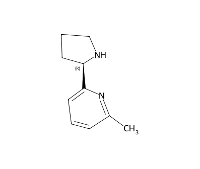 Cc1cccc([C@H]2CCCN2)n1